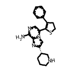 Nc1ncc(C2=C(c3ccccc3)CCS2)n2cc([C@H]3CCCNC3)nc12